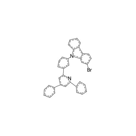 Brc1ccc2c3ccccc3n(-c3cccc(-c4cc(-c5ccccc5)cc(-c5ccccc5)n4)c3)c2c1